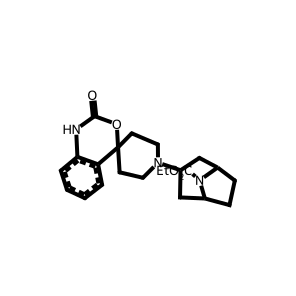 CCOC(=O)N1C2CCC1CC(N1CCC3(CC1)OC(=O)Nc1ccccc13)C2